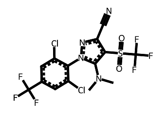 CN(C)c1c(S(=O)(=O)C(F)(F)F)c(C#N)nn1-c1c(Cl)cc(C(F)(F)F)cc1Cl